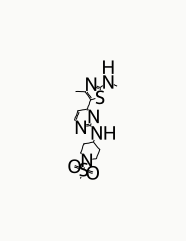 CNc1nc(C)c(-c2ccnc(NC3CCN(S(C)(=O)=O)CC3)n2)s1